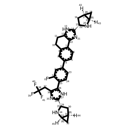 Fc1cc(-c2ccc3c(c2)CCc2[nH]c([C@@H]4C[C@H]5C[C@H]5N4)nc2-3)ccc1-c1[nH]c([C@@H]2C[C@H]3C[C@H]3N2)nc1CC(F)(F)F